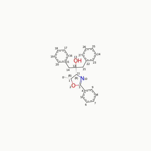 C[C@H]1OC(c2ccccc2)=N[C@H]1C(O)(Cc1ccccc1)Cc1ccccc1